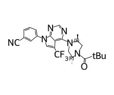 C[C@@H]1CN(c2ncnc3c2c(C(F)(F)F)cn3-c2cccc(C#N)c2)[C@@H](C)CN1C(=O)C(C)(C)C